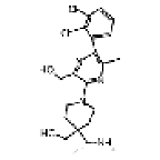 Cc1nc(N2CCC(CO)([C@@H](C)N)CC2)c(CO)nc1-c1cccc(Cl)c1Cl